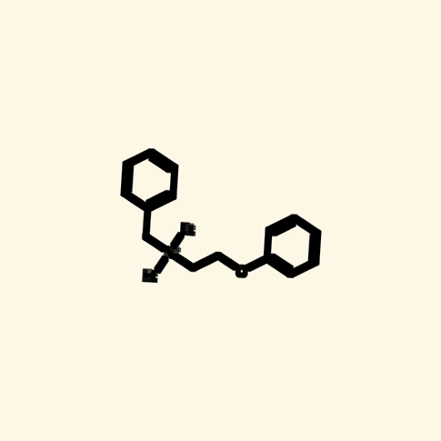 CC[N+](CC)(CCOc1ccccc1)Cc1ccccc1